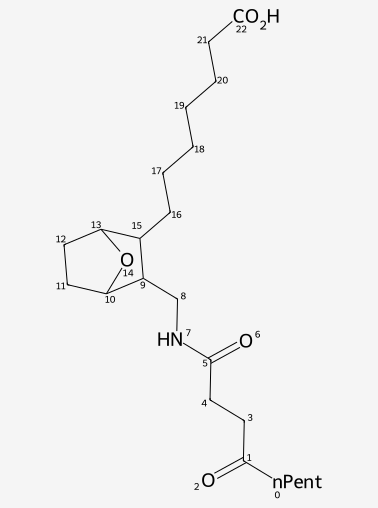 CCCCCC(=O)CCC(=O)NCC1C2CCC(O2)C1CCCCCCC(=O)O